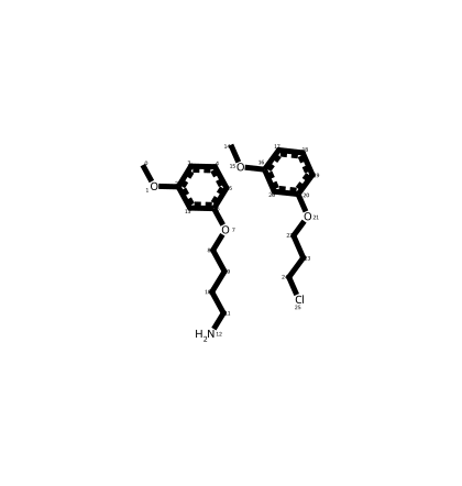 COc1cccc(OCCCCN)c1.COc1cccc(OCCCCl)c1